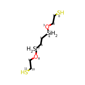 SCCO[SiH2]CC[SiH2]OCCS